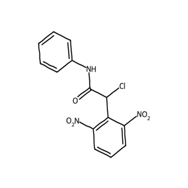 O=C(Nc1ccccc1)C(Cl)c1c([N+](=O)[O-])cccc1[N+](=O)[O-]